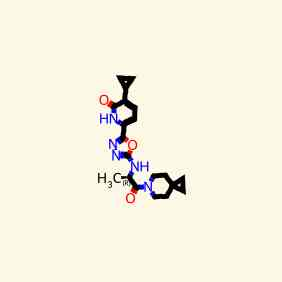 C[C@@H](Nc1nnc(-c2ccc(C3CC3)c(=O)[nH]2)o1)C(=O)N1CCC2(CC1)CC2